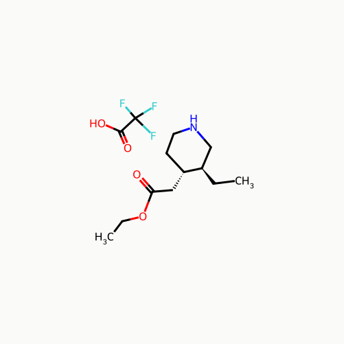 CCOC(=O)C[C@@H]1CCNC[C@H]1CC.O=C(O)C(F)(F)F